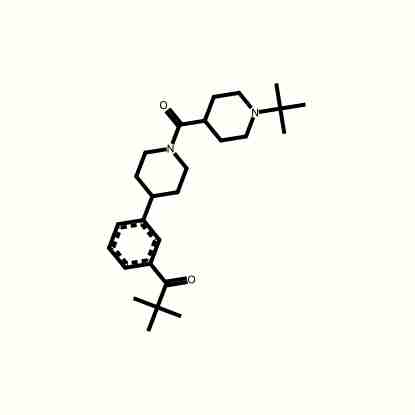 CC(C)(C)C(=O)c1cccc(C2CCN(C(=O)C3CCN(C(C)(C)C)CC3)CC2)c1